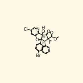 COC(=O)[C@]1(F)C(=O)[C@@]2(O)c3ncc(Cl)cc3O[C@@]2(c2ccc(Br)cc2)[C@@H]1c1ccccc1